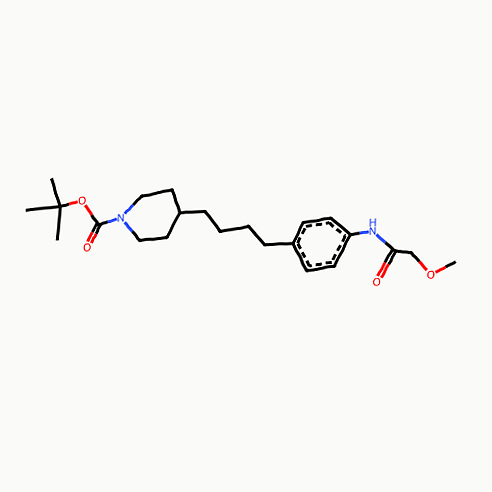 COCC(=O)Nc1ccc(CCCCC2CCN(C(=O)OC(C)(C)C)CC2)cc1